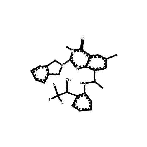 Cc1cc(C(C)Nc2ccccc2C(O)C(F)(F)F)c2nc(N3Cc4ccccc4C3)n(C)c(=O)c2c1